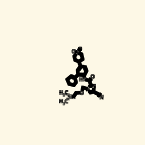 C[SiH](C)CCOCn1cc(C#N)nc1C(=O)Nc1ccc(C2CCS(=O)(=O)CC2)cc1C1=CCCCC1